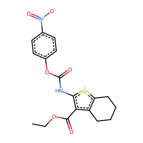 CCOC(=O)c1c(NC(=O)Oc2ccc([N+](=O)[O-])cc2)sc2c1CCCC2